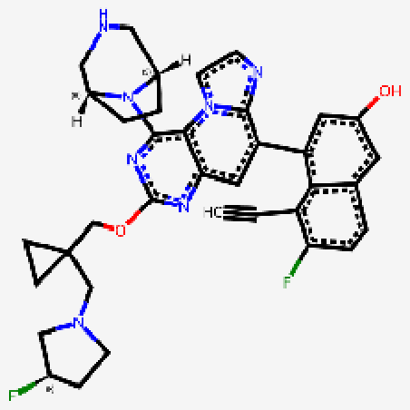 C#Cc1c(F)ccc2cc(O)cc(-c3cc4nc(OCC5(CN6CC[C@@H](F)C6)CC5)nc(N5[C@@H]6CC[C@H]5CNC6)c4n4ccnc34)c12